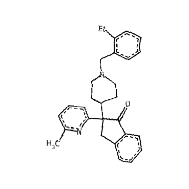 CCc1ccccc1CN1CCC(C2(c3cccc(C)n3)Cc3ccccc3C2=O)CC1